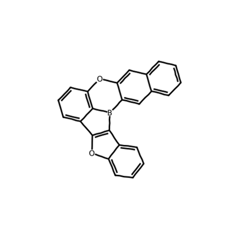 c1cc2c3c(c1)-c1oc4ccccc4c1B3c1cc3ccccc3cc1O2